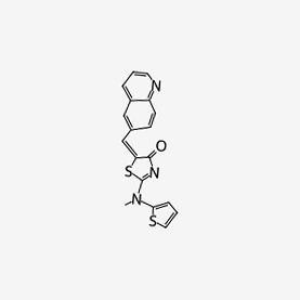 CN(C1=NC(=O)/C(=C\c2ccc3ncccc3c2)S1)c1cccs1